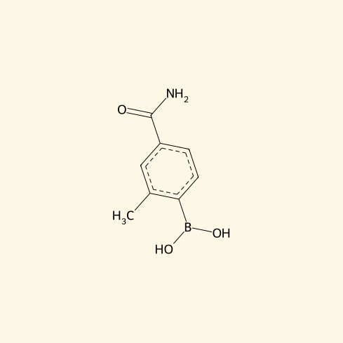 Cc1cc(C(N)=O)ccc1B(O)O